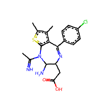 CC(=N)N1c2sc(C)c(C)c2C(c2ccc(Cl)cc2)=NC(CC(=O)O)C1N